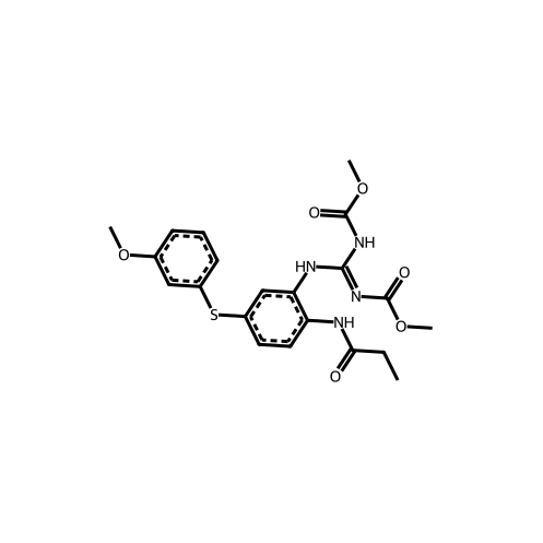 CCC(=O)Nc1ccc(Sc2cccc(OC)c2)cc1NC(=NC(=O)OC)NC(=O)OC